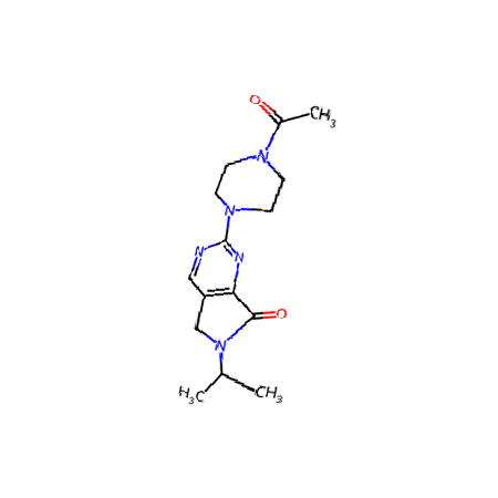 CC(=O)N1CCN(c2ncc3c(n2)C(=O)N(C(C)C)C3)CC1